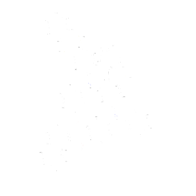 c1ccc(N(c2ccc3c(c2)Oc2ccc4ccccc4c2O3)c2cc(N(c3ccccc3)c3ccc4c(c3)Sc3ccccc3S4)c3c(c2)sc2ccccc23)cc1